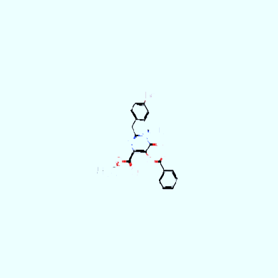 COC(=O)c1nc(Cc2ccc(Br)cc2)n(C)c(=O)c1OC(=O)c1ccccc1